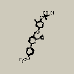 CCOC(=O)C(C)(C)Oc1ccc(OCc2ccc(-c3ccc(OC(F)(F)F)cc3)nc2C2CC2)cc1C